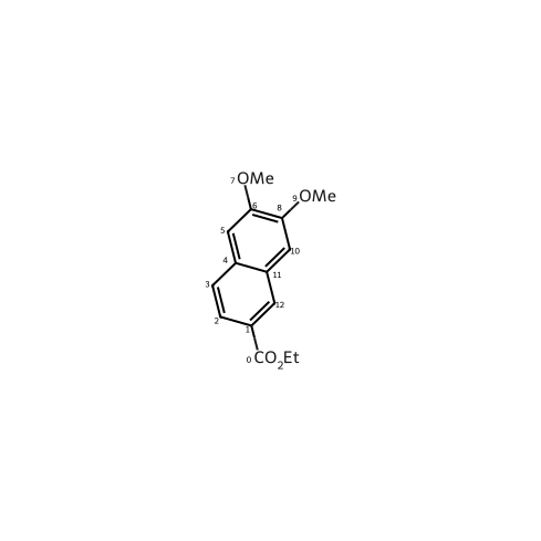 CCOC(=O)c1ccc2cc(OC)c(OC)cc2c1